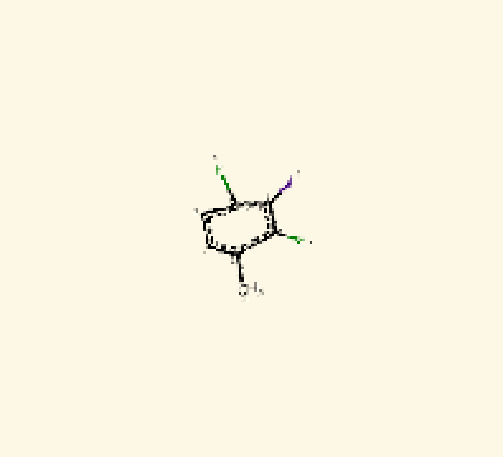 Cc1ccc(F)c(I)c1F